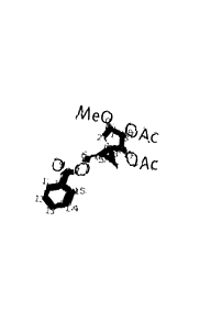 CO[C@@H]1C[C@@]2(C[C@H]2COC(=O)c2ccccc2)C(OC(C)=O)C1OC(C)=O